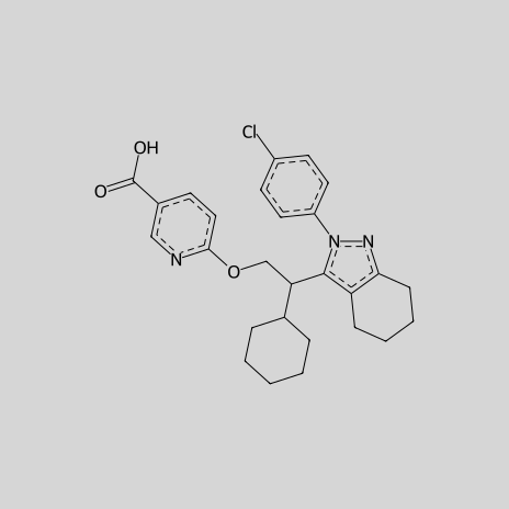 O=C(O)c1ccc(OCC(c2c3c(nn2-c2ccc(Cl)cc2)CCCC3)C2CCCCC2)nc1